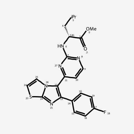 COC(=O)[C@@H](CC(C)C)Nc1nccc(-c2c(-c3ccc(F)cc3)nc3sccn23)n1